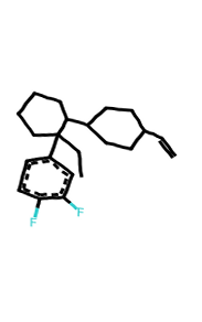 C=CC1CCC(C2CCCCC2(CC)c2ccc(F)c(F)c2)CC1